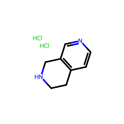 Cl.Cl.c1cc2c(cn1)CNCC2